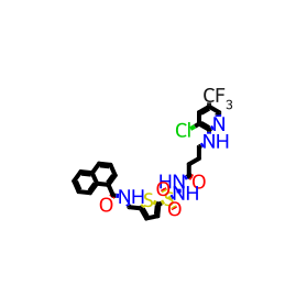 O=C(CCCNc1ncc(C(F)(F)F)cc1Cl)NNS(=O)(=O)c1ccc(CNC(=O)c2cccc3ccccc23)s1